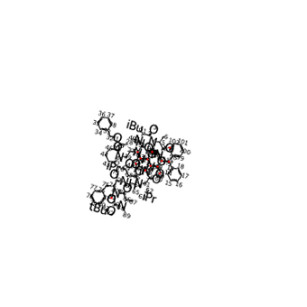 CCC(C)[C@@H](C(=O)N[C@@H](C)C(=O)N(C)C(Cc1ccccc1)C(=O)N(C)[C@H](C(=O)N[C@@H](CC(=O)OCc1ccccc1)C(=O)N1CCCCC1)C(C)C)N(C)C(=O)CN(C)C(=O)[C@@H](NC(=O)[C@H](CC(C)C)N(C)C(=O)C(CC(C)C)NC(=O)[C@H](Cc1ccccc1)N(C)C(=O)C(C)N(C)C(=O)OC(C)(C)C)C(C)OCc1ccccc1